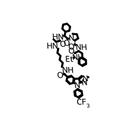 CCNC(=O)C(Cc1ccccc1)NC(=O)[C@@H]1CCCN1C(=O)C(NC(=O)C(C)NCCCCCCNC(=O)c1ccc2c(c1)c1cn(C)nc1n2-c1ccc(C(F)(F)F)cc1)C1CCCCC1